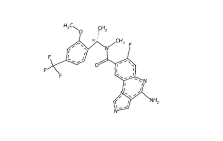 COc1cc(C(F)(F)F)ccc1[C@H](C)N(C)C(=O)c1cc2c(cc1F)nc(N)c1cncn12